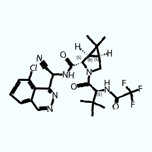 CC(C)(C)[C@H](NC(=O)C(F)(F)F)C(=O)N1C[C@H]2[C@@H]([C@H]1C(=O)NC(C#N)c1nncc3cccc(Cl)c13)C2(C)C